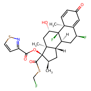 C[C@@H]1C[C@H]2[C@@H]3C[C@H](F)C4=CC(=O)C=C[C@]4(C)[C@@]3(F)[C@@H](O)C[C@]2(C)[C@@]1(OC(=O)c1ccsn1)C(=O)SCF